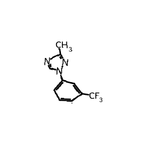 Cc1ncn(-c2cc[c]c(C(F)(F)F)c2)n1